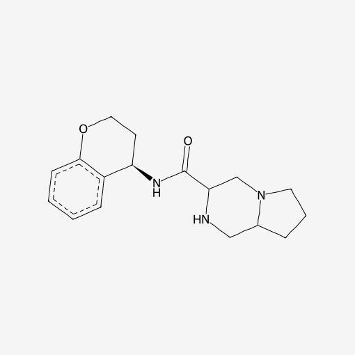 O=C(N[C@@H]1CCOc2ccccc21)C1CN2CCCC2CN1